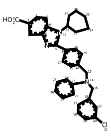 O=C(O)c1ccc2c(c1)nc(-c1ccc(CN(Cc3cccc(Cl)c3)c3ccccc3)cc1)n2C1CCCCC1